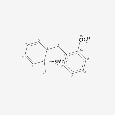 CSC1(C)C=CC=CC1Cc1ccccc1C(=O)O